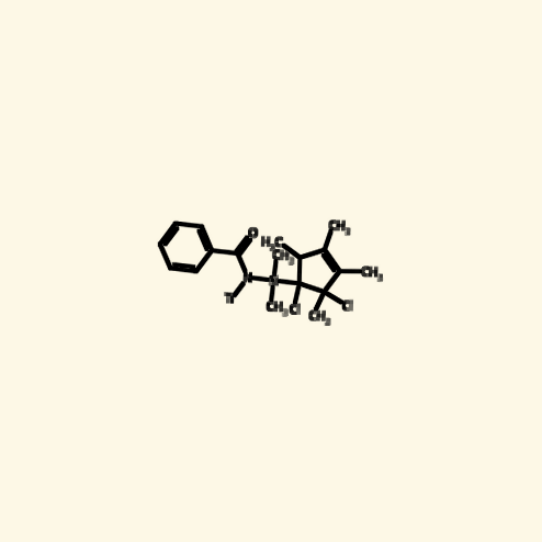 CC1=C(C)C(C)(Cl)C(Cl)([Si](C)(C)[N]([Ti])C(=O)c2ccccc2)C1C